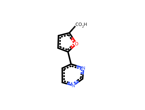 O=C(O)c1ccc(-c2ccncn2)o1